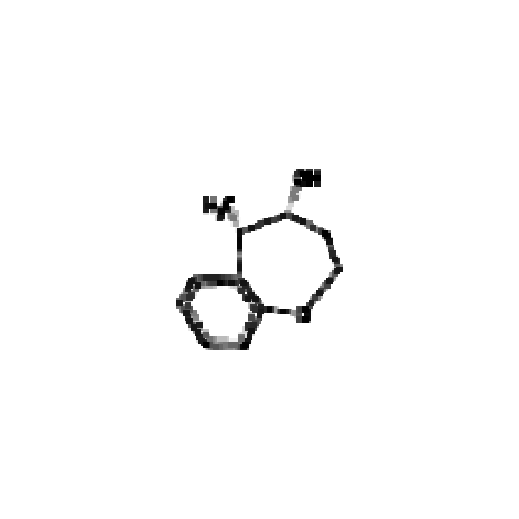 C[C@H]1c2ccccc2OCC[C@H]1O